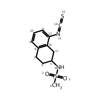 CS(=O)(=O)NC1CCc2cccc(N=C=S)c2C1